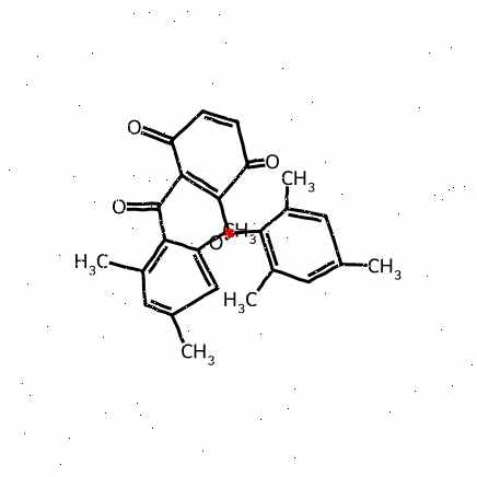 Cc1cc(C)c(C(=O)C2=C(C(=O)c3c(C)cc(C)cc3C)C(=O)C=CC2=O)c(C)c1